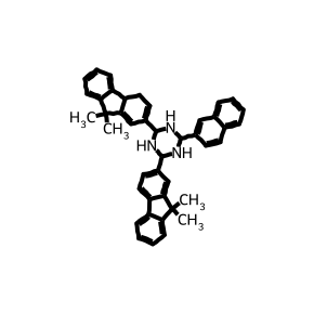 CC1(C)C2=CC(C3NC(c4ccc5c(c4)C(C)(C)c4ccccc4-5)NC(c4ccc5ccccc5c4)N3)=CCC2c2ccccc21